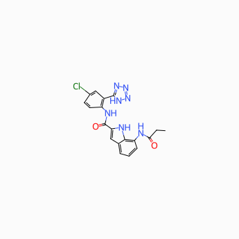 CCC(=O)Nc1cccc2cc(C(=O)Nc3ccc(Cl)cc3-c3nnn[nH]3)[nH]c12